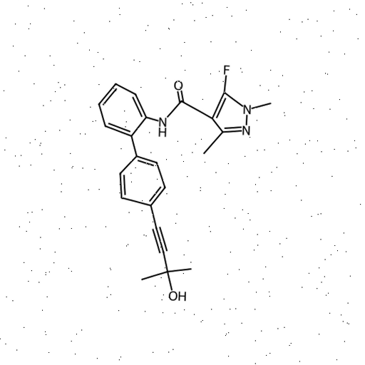 Cc1nn(C)c(F)c1C(=O)Nc1ccccc1-c1ccc(C#CC(C)(C)O)cc1